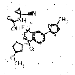 CO[C@H]1CC[C@H](S(=O)(=O)c2ccc(-c3nc(C)cs3)cc2C(F)(F)F)C1.N#CC1(NC(=O)O)CC1